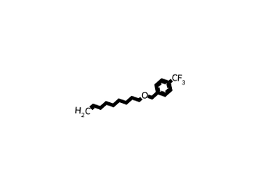 C=CCCCCCCCOCc1ccc(C(F)(F)F)cc1